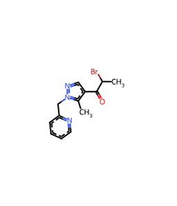 Cc1c(C(=O)C(C)Br)cnn1Cc1ccccn1